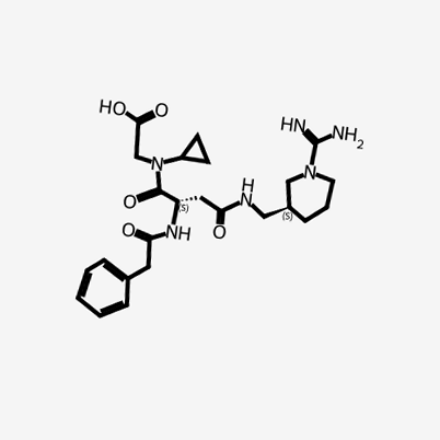 N=C(N)N1CCC[C@@H](CNC(=O)C[C@H](NC(=O)Cc2ccccc2)C(=O)N(CC(=O)O)C2CC2)C1